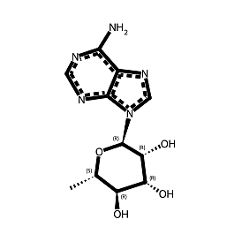 C[C@@H]1O[C@@H](n2cnc3c(N)ncnc32)[C@H](O)[C@H](O)[C@H]1O